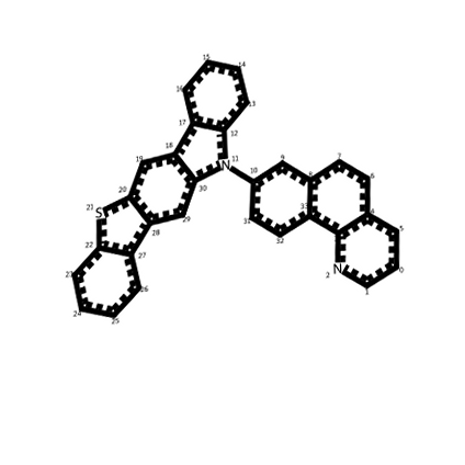 c1cnc2c(c1)ccc1cc(-n3c4ccccc4c4cc5sc6ccccc6c5cc43)ccc12